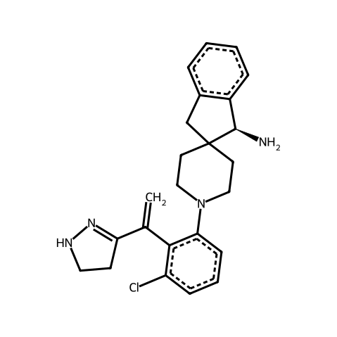 C=C(C1=NNCC1)c1c(Cl)cccc1N1CCC2(CC1)Cc1ccccc1[C@H]2N